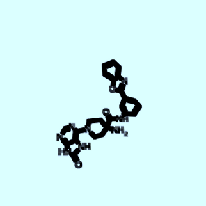 NC1(C(=O)Nc2cccc(-c3nc4ccccc4o3)c2)CCN(c2ncnc3[nH]c(=O)[nH]c23)CC1